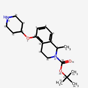 CC1c2cccc(OC3CCNCC3)c2CCN1C(=O)OC(C)(C)C